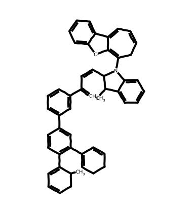 C=C(/C=C\C1C(C)c2ccccc2N1C1=c2oc3ccccc3c2=CC=CC1)c1cccc(-c2ccc(C3=CC=CCC3C)c(C3=CCCC=C3)c2)c1